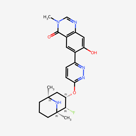 Cn1cnc2cc(O)c(-c3ccc(O[C@H]4C[C@]5(C)CCC[C@@](C)(N5)[C@H]4F)nn3)cc2c1=O